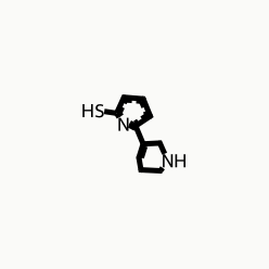 Sc1cccc(C2=CCCNC2)n1